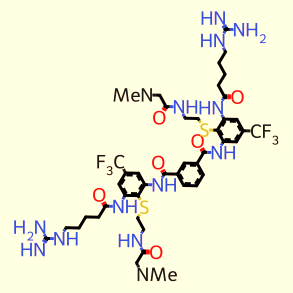 CNCC(=O)NCCSc1c(NC(=O)CCCCNC(=N)N)cc(C(F)(F)F)cc1NC(=O)c1cccc(C(=O)Nc2cc(C(F)(F)F)cc(NC(=O)CCCCNC(=N)N)c2SCCNC(=O)CNC)c1